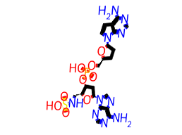 Nc1ncnc2c1ccn2[C@H]1CC[C@@H](COP(=O)(O)O[C@H]2C[C@H](n3cnc4c(N)ncnc43)O[C@@H]2CNS(=O)(=O)O)O1